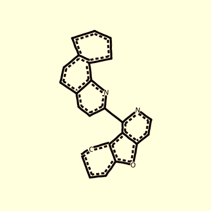 c1ccc2c(c1)ccc1ccc(-c3nccc4oc5ccccc5c34)nc12